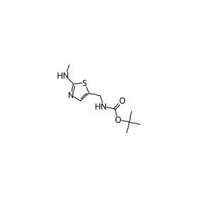 CNc1ncc(CNC(=O)OC(C)(C)C)s1